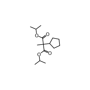 CC(C)OC(=O)C(C)(C(=O)OC(C)C)C1CCCC1